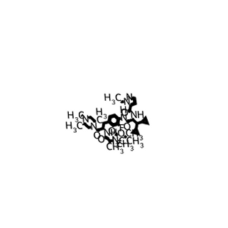 CCn1nccc1C(=O)N[C@H](C(=O)Nc1ccc([C@H](C)[C@@H](NC(=O)[C@H](C)N(C)C(=O)OC(C)(C)C)C(=O)N2CCN(C)[C@H](C)C2)cc1F)C(C1CC1)C1CC1